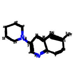 CC(C)c1ccc2ncc(N3CCCCC3)cc2c1